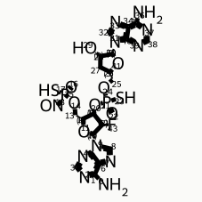 Nc1ncnc2c1ncn2[C@@H]1O[C@H](COP(=O)(S)N=O)[C@@H](OP(=O)(S)OC[C@@H]2C[C@@H](O)[C@H](n3cnc4c(N)ncnc43)O2)[C@H]1F